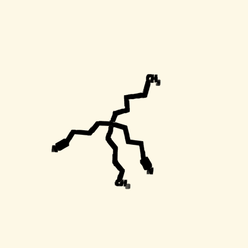 CCCCCS(CCCC#N)(CCCC#N)CCCCC